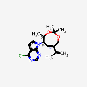 C=C(C)/C1=C/[C@@H](n2ccc3c(Cl)ncnc32)[C@@H](C)OC(C)(C)OC1